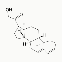 C[C@]12CC[C@H]3[C@@H](CC=C4C=CCC[C@@]43C)[C@@H]1CC[C@@H]2C(=O)CO